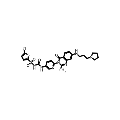 Cc1nc2cc(NCCCN3CCCC3)ccc2c(=O)n1-c1ccc(NC(=O)NS(=O)(=O)c2ccc(Cl)s2)cn1